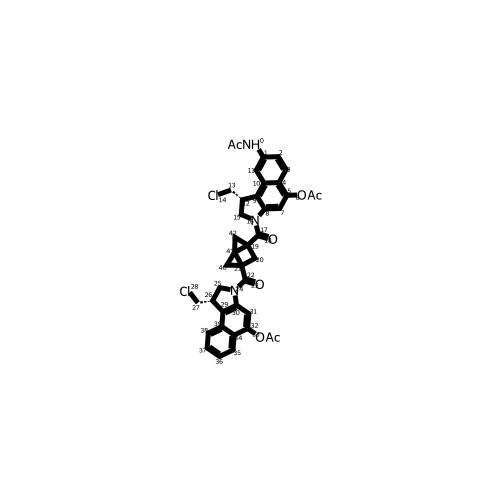 CC(=O)Nc1ccc2c(OC(C)=O)cc3c(c2c1)[C@@H](CCl)CN3C(=O)C12CC3(C(=O)N4C[C@@H](CCl)c5c4cc(OC(C)=O)c4ccccc54)CC31C2